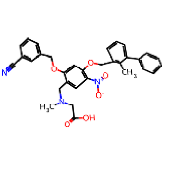 Cc1c(COc2cc(OCc3cccc(C#N)c3)c(CN(C)CC(=O)O)cc2[N+](=O)[O-])cccc1-c1ccccc1